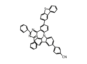 N#Cc1ccc(-c2ccc3c(c2)c2ccccc2n3-c2ccc(-c3ccc4sc5ccccc5c4c3)cc2-c2nc(-c3ccccc3)nc(-c3ccccc3)n2)cc1